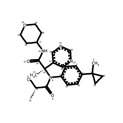 CC1(c2ccc(N(C(=O)[C@H](F)Cl)[C@@](C)(C(=O)NC3CCOCC3)c3cncnc3)cc2)CC1